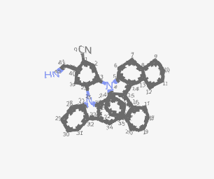 N#Cc1cc(-n2c3ccc4ccccc4c3c3c4ccccc4ccc32)c(-n2c3ccccc3c3ccccc32)cc1C=N